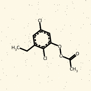 CCc1cc(Cl)cc(OOC(C)=O)c1Cl